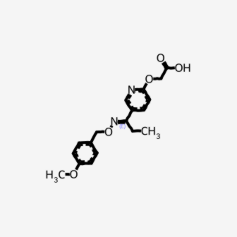 CC/C(=N\OCc1ccc(OC)cc1)c1ccc(OCC(=O)O)nc1